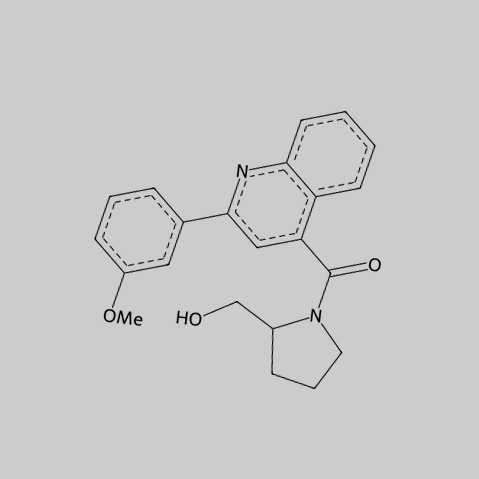 COc1cccc(-c2cc(C(=O)N3CCCC3CO)c3ccccc3n2)c1